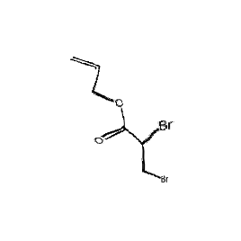 C=CCOC(=O)C(Br)CBr